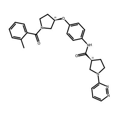 Cc1ccccc1C(=O)N1CC[C@@H](Oc2ccc(NC(=O)[C@H]3CCN(c4cccnn4)C3)cc2)C1